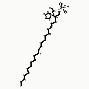 CCCCCCCCCCCCCCCCCCNCCC(COP(=O)([O-])O)[N+](CC)(CC)CC